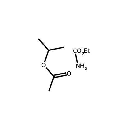 CC(=O)OC(C)C.CCOC(N)=O